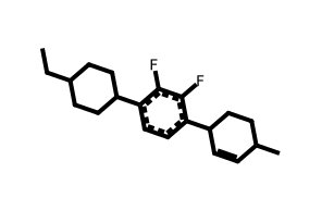 CCC1CCC(c2ccc(C3C=CC(C)CC3)c(F)c2F)CC1